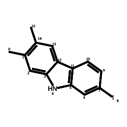 Cc1cc2[nH]c3cc(I)ccc3c2cc1C